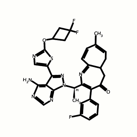 CC1=CCC2CC(=O)C(c3cccc(F)c3)=C([C@@H](C)n3nc(-c4cnc(OC5CC(F)(F)C5)s4)c4c(N)ncnc43)N=C2C=C1